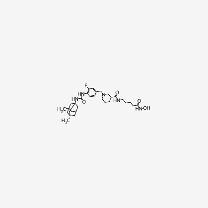 C[C@]12CC3CC(NC(=O)Nc4ccc(CN5CCC[C@H](C(=O)NCCCCC(=O)NO)C5)cc4F)(C1)C[C@@](C)(C3)C2